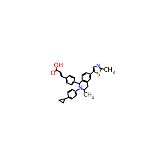 Cc1ncc(-c2ccc3c(c2)CC(C)N(c2ccc(C4CC4)cc2)C3c2ccc(/C=C/C(=O)O)cc2)s1